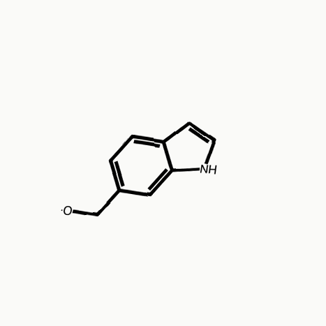 [O]Cc1ccc2cc[nH]c2c1